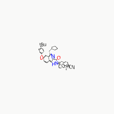 CC(C)(C)c1ccc(Oc2ccc3cc(C(=O)N[C@@H](Cc4ccc(C#N)cc4)C(=O)O)nc(CC4CCCC4)c3c2)cc1